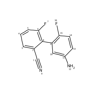 N#Cc1cccc(F)c1-c1cc(N)ccc1F